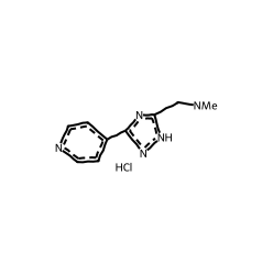 CNCc1nc(-c2ccncc2)n[nH]1.Cl